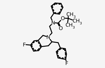 CC(C)(C)OC(=O)N(CCN1Cc2cc(F)ccc2CC1Cc1ccc(F)cc1)Cc1ccccc1